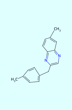 Cc1ccc(Cc2cnc3cc(C)ccc3n2)cc1